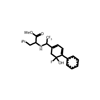 COC(=O)C(CC(C)C)NC(C1=CC=C(c2ccccc2)C(O)(F)C1)C(F)(F)F